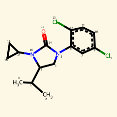 CC(C)C1CN(c2cc(Cl)ccc2Cl)C(=O)N1C1CC1